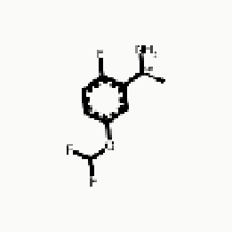 C[C@H](N)c1cc(OC(F)F)ccc1F